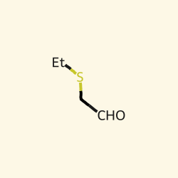 CCSCC=O